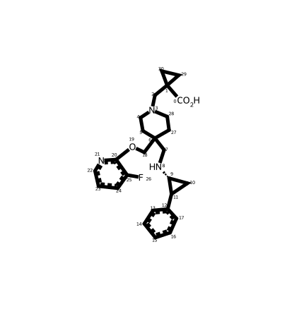 O=C(O)C1(CN2CCC(CN[C@@H]3CC3c3ccccc3)(COc3ncccc3F)CC2)CC1